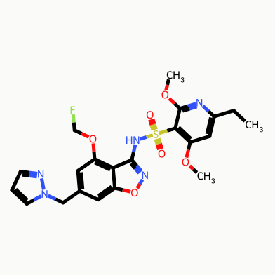 CCc1cc(OC)c(S(=O)(=O)Nc2noc3cc(Cn4cccn4)cc(OCF)c23)c(OC)n1